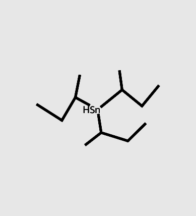 CC[CH](C)[SnH]([CH](C)CC)[CH](C)CC